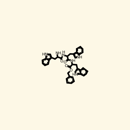 NC(Cc1c[nH]c2ccccc12)C(=O)NC(Cc1c[nH]c2ccccc12)C(=O)NC(Cc1c[nH]c2ccccc12)C(=O)OCc1ccccc1